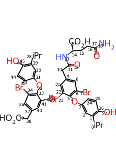 CC(C)c1cc(Oc2c(Br)cc(CC(=O)N[C@H](CCC(N)=O)C(=O)O)cc2Br)ccc1O.CC(C)c1cc(Oc2c(Br)cc(CC(=O)O)cc2Br)ccc1O